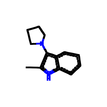 Cc1[nH]c2ccccc2c1N1CCCC1